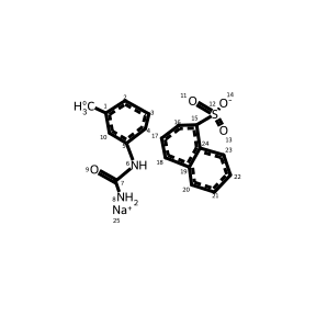 Cc1cccc(NC(N)=O)c1.O=S(=O)([O-])c1cccc2ccccc12.[Na+]